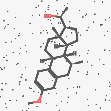 COC1=CCC2=C(C1)C[C@@H](C)[C@@H]1[C@@H]2CC[C@@]2(C)[C@@H]1CC[C@@H]2[C@@H](C)O